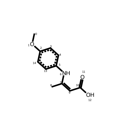 COc1ccc(N/C(C)=C\C(=O)O)cc1